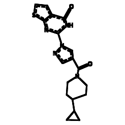 O=C(c1cnn(-c2nc3sccc3c(=O)[nH]2)c1)N1CCC(C2CC2)CC1